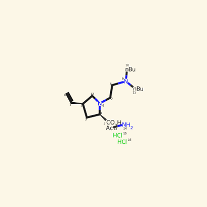 C=C[C@@H]1C[C@H](C(=O)O)N(CCN(CCCC)CCCC)C1.CC(N)=O.Cl.Cl